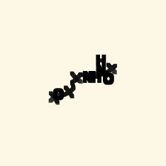 CC(C)(CCC(C)(C)COC(C)(C)C)CNCCNC(=O)C(C)(C)C